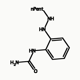 CCCCCNNc1ccccc1NC(N)=O